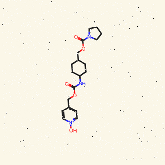 O=C(NC1CCC(COC(=O)N2CCCC2)CC1)OCc1cc[n+](O)cc1